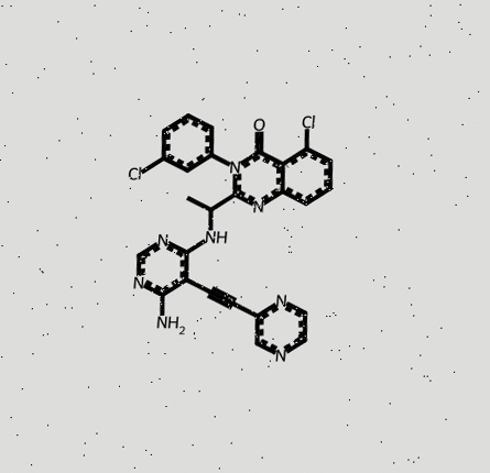 CC(Nc1ncnc(N)c1C#Cc1cnccn1)c1nc2cccc(Cl)c2c(=O)n1-c1cccc(Cl)c1